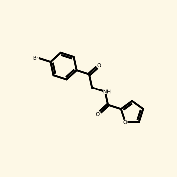 O=C(CNC(=O)c1ccco1)c1ccc(Br)cc1